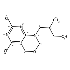 CC(CO)CN1COCc2c(Cl)nc(Cl)nc21